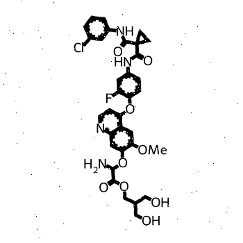 COc1cc2c(Oc3ccc(NC(=O)C4(C(=O)Nc5cccc(Cl)c5)CC4)cc3F)ccnc2cc1OC(N)C(=O)OCC(CO)CO